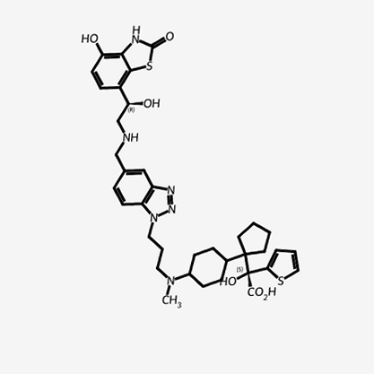 CN(CCCn1nnc2cc(CNC[C@H](O)c3ccc(O)c4[nH]c(=O)sc34)ccc21)C1CCC(C2([C@](O)(C(=O)O)c3cccs3)CCCC2)CC1